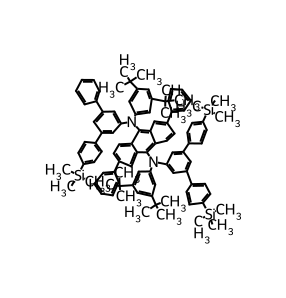 CC(C)(C)c1cc(N(c2cc(-c3ccccc3)cc(-c3ccc([Si](C)(C)C)cc3)c2)c2c3ccc(-c4ccccc4)cc3c(N(c3cc(-c4ccc([Si](C)(C)C)cc4)cc(-c4ccc([Si](C)(C)C)cc4)c3)c3cc(C(C)(C)C)cc(C(C)(C)C)c3)c3ccc(-c4ccccc4)cc23)cc(C(C)(C)C)c1